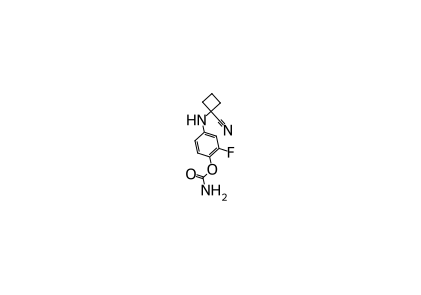 N#CC1(Nc2ccc(OC(N)=O)c(F)c2)CCC1